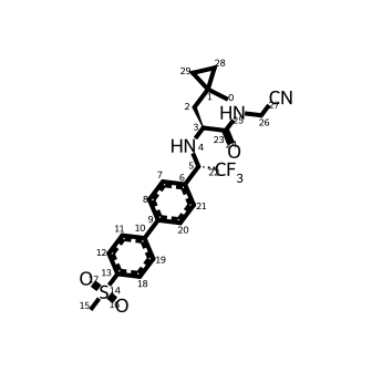 CC1(C[C@H](N[C@@H](c2ccc(-c3ccc(S(C)(=O)=O)cc3)cc2)C(F)(F)F)C(=O)NCC#N)CC1